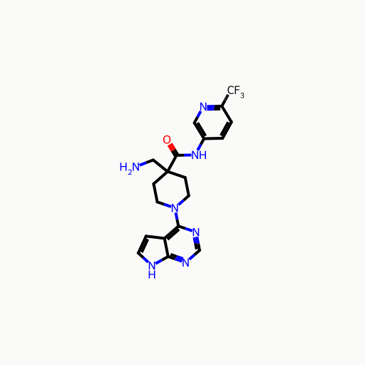 NCC1(C(=O)Nc2ccc(C(F)(F)F)nc2)CCN(c2ncnc3[nH]ccc23)CC1